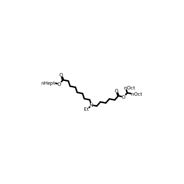 CCCCCCCCC(CCCCCCCC)OC(=O)CCCCCN(CC)CCCCCCCC(=O)OCCCCCCC